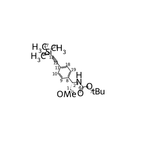 COC[C@@H](NC(=O)OC(C)(C)C)c1ccc(C#C[Si](C)(C)C)cc1